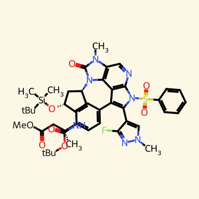 COC(=O)C[C@@H](C)c1ccc(-c2c(-c3cn(C)nc3F)n(S(=O)(=O)c3ccccc3)c3ncc4c(c23)n([C@H]2C[C@H](NC(=O)OC(C)(C)C)[C@H](O[Si](C)(C)C(C)(C)C)C2)c(=O)n4C)cc1